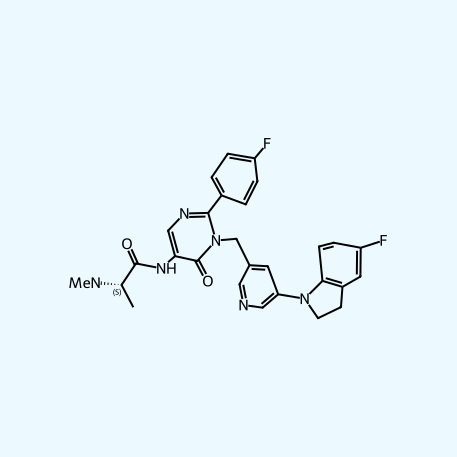 CN[C@@H](C)C(=O)Nc1cnc(-c2ccc(F)cc2)n(Cc2cncc(N3CCc4cc(F)ccc43)c2)c1=O